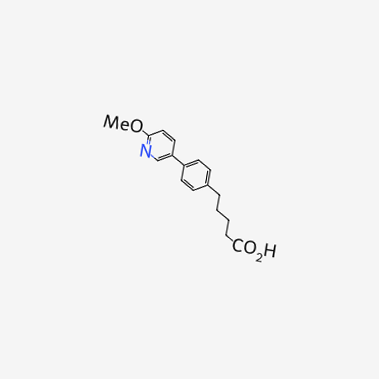 COc1ccc(-c2ccc(CCCCC(=O)O)cc2)cn1